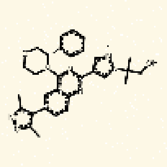 Cc1noc(C)c1-c1ccc2nc(-c3cnn(C(C)(C)CO)c3)nc(N3CCOC[C@@H]3c3ccccc3)c2c1